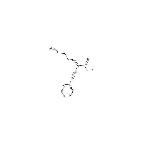 [2H]CC(=O)/C(C#Cc1ccccc1)=C/CCCC